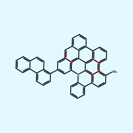 CC(C)(C)c1ccc(-c2ccccc2N(c2cccc(-c3cccc4c3ccc3ccccc34)c2)c2ccccc2-c2cccc3cccc(-c4ccccc4)c23)cc1